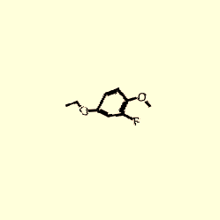 CCOc1ccc(OC)c(F)c1